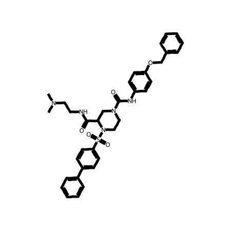 CN(C)CCNC(=O)C1CN(C(=O)Nc2ccc(OCc3ccccc3)cc2)CCN1S(=O)(=O)c1ccc(-c2ccccc2)cc1